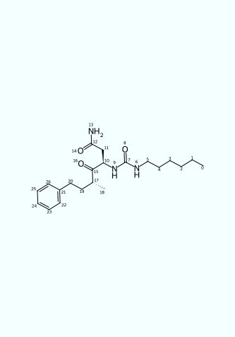 CCCCCCNC(=O)N[C@H](CC(N)=O)C(=O)[C@H](C)CCc1ccccc1